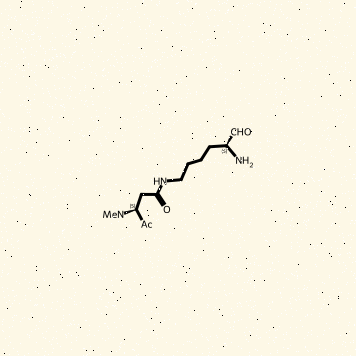 CN[C@@H](CC(=O)NCCCC[C@H](N)C=O)C(C)=O